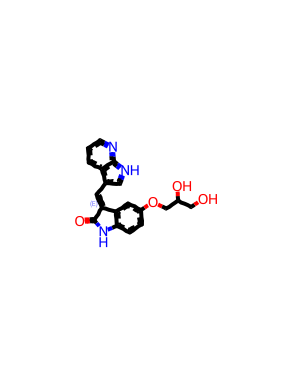 O=C1Nc2ccc(OCC(O)CO)cc2/C1=C\c1c[nH]c2ncccc12